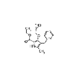 CCOC(=O)c1[nH]c(C)c(Cc2ccccc2)c1OCC1CO1